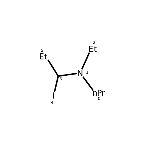 CCCN(CC)C(I)CC